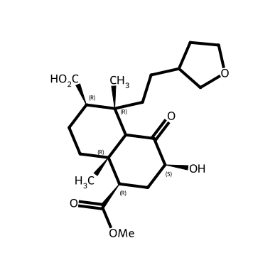 COC(=O)[C@@H]1C[C@H](O)C(=O)C2[C@@](C)(CCC3CCOC3)[C@H](C(=O)O)CC[C@]21C